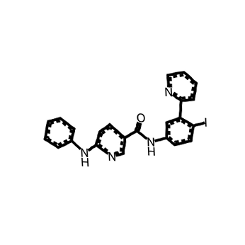 O=C(Nc1ccc(I)c(-c2ccccn2)c1)c1ccc(Nc2ccccc2)nc1